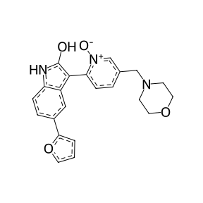 [O-][n+]1cc(CN2CCOCC2)ccc1-c1c(O)[nH]c2ccc(-c3ccco3)cc12